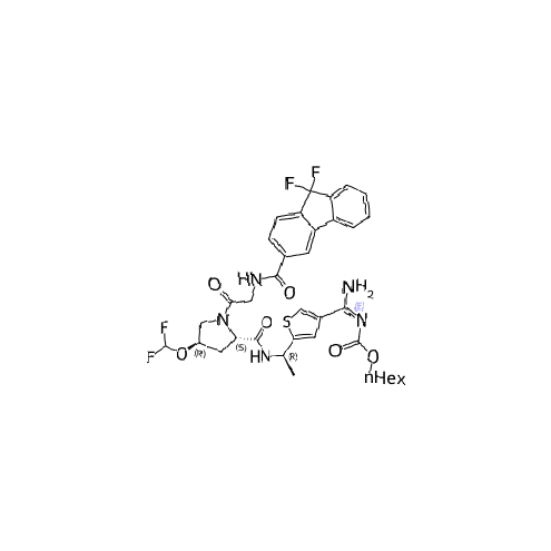 CCCCCCOC(=O)/N=C(/N)c1csc([C@@H](C)NC(=O)[C@@H]2C[C@@H](OC(F)F)CN2C(=O)CNC(=O)c2ccc3c(c2)-c2ccccc2C3(F)F)c1